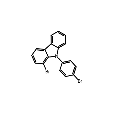 Brc1ccc(-n2c3ccccc3c3cccc(Br)c32)cc1